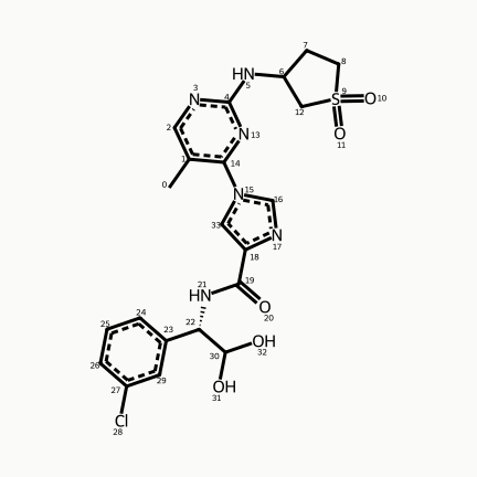 Cc1cnc(NC2CCS(=O)(=O)C2)nc1-n1cnc(C(=O)N[C@@H](c2cccc(Cl)c2)C(O)O)c1